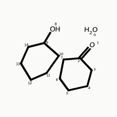 O.O=C1CCCCC1.OC1CCCCC1